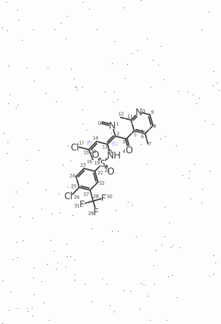 C=N/C(C(=O)c1c(C)ccnc1C)=C(\C=C(/C)Cl)NS(=O)(=O)c1ccc(Cl)c(C(F)(F)F)c1